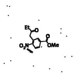 C=C.CCC(=O)Cc1cc(C(=O)OC)ccc1[N+](=O)[O-]